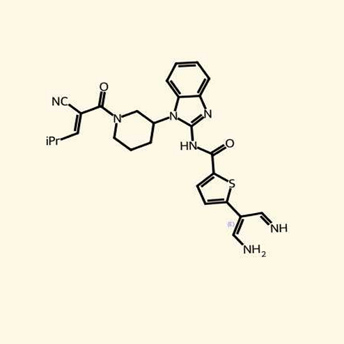 CC(C)C=C(C#N)C(=O)N1CCCC(n2c(NC(=O)c3ccc(/C(C=N)=C/N)s3)nc3ccccc32)C1